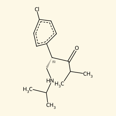 CC(C)NC[C@@H](C(=O)C(C)C)c1ccc(Cl)cc1